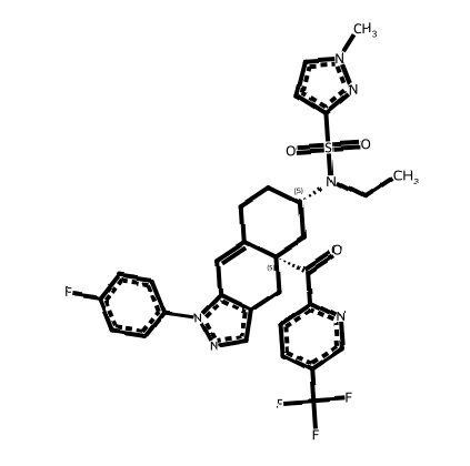 CCN([C@H]1CCC2=Cc3c(cnn3-c3ccc(F)cc3)C[C@]2(C(=O)c2ccc(C(F)(F)F)cn2)C1)S(=O)(=O)c1ccn(C)n1